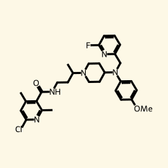 COc1ccc(N(Cc2cccc(F)n2)C2CCN(C(C)CCNC(=O)c3c(C)cc(Cl)nc3C)CC2)cc1